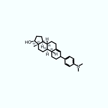 CN(C)c1ccc(C2C=C3CC[C@@H]4[C@H](CC[C@]5(C)[C@@H](O)CC[C@@H]45)[C@H]3CC2)cc1